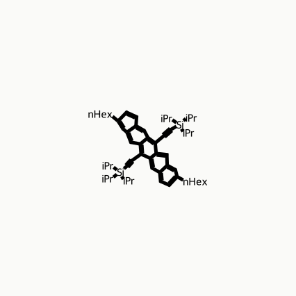 CCCCCCc1ccc2cc3c(C#C[Si](C(C)C)(C(C)C)C(C)C)c4cc5cc(CCCCCC)ccc5cc4c(C#C[Si](C(C)C)(C(C)C)C(C)C)c3cc2c1